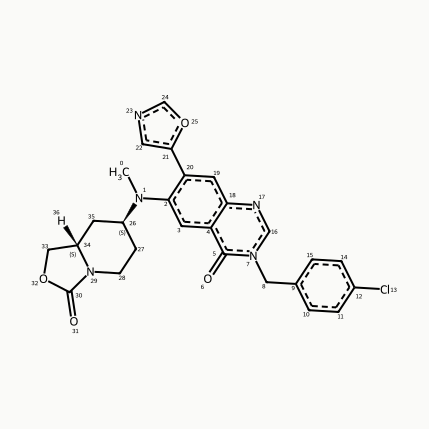 CN(c1cc2c(=O)n(Cc3ccc(Cl)cc3)cnc2cc1-c1cnco1)[C@H]1CCN2C(=O)OC[C@@H]2C1